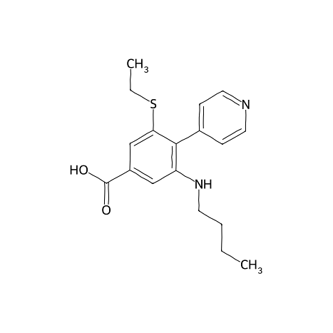 CCCCNc1cc(C(=O)O)cc(SCC)c1-c1ccncc1